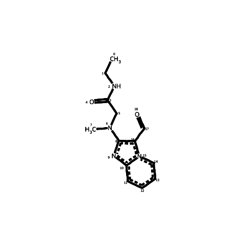 CCNC(=O)CN(C)c1nc2ccccn2c1C=O